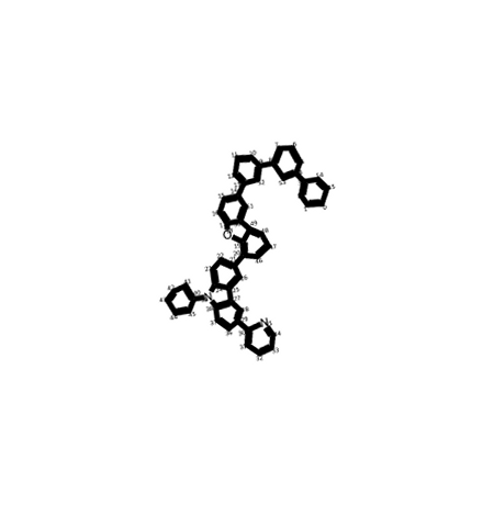 c1ccc(-c2cccc(-c3cccc(-c4ccc5oc6c(-c7ccc8c(c7)c7cc(-c9ccccn9)ccc7n8-c7ccccc7)cccc6c5c4)c3)c2)cc1